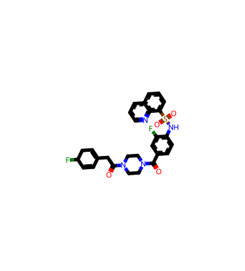 O=C(CC1=CCC(F)C=C1)N1CCN(C(=O)c2ccc(NS(=O)(=O)c3cccc4cccnc34)c(F)c2)CC1